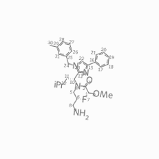 COCC(=O)N(C[C@H](F)CN)[C@H](CC(C)C)c1nc(-c2ccccc2)cn1Cc1cccc(C)c1